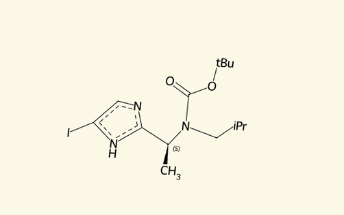 CC(C)CN(C(=O)OC(C)(C)C)[C@@H](C)c1ncc(I)[nH]1